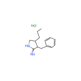 CCCC1CNC(=N)C1Cc1ccccc1.Cl